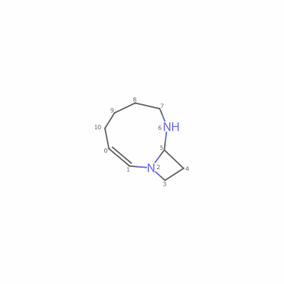 C1=CN2CCC2NCCCC1